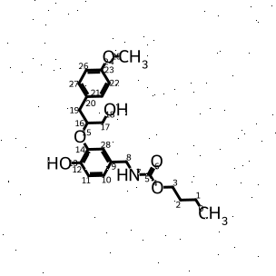 CCCCOC(=O)NCc1ccc(O)c(OC(CO)Cc2ccc(OC)cc2)c1